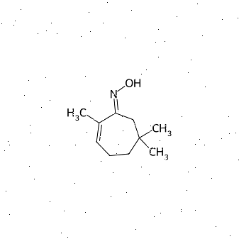 CC1=CCCC(C)(C)C/C1=N\O